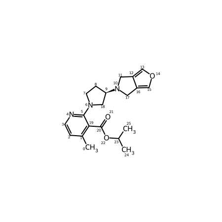 Cc1ccnc(N2CC[C@@H](N3Cc4cocc4C3)C2)c1C(=O)OC(C)C